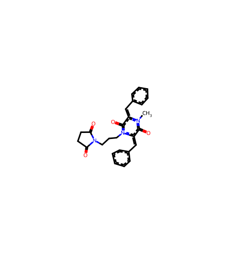 Cn1c(=O)c(=Cc2ccccc2)n(CCCN2C(=O)CCC2=O)c(=O)c1=Cc1ccccc1